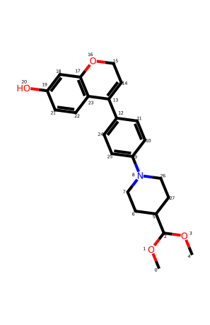 COC(OC)C1CCN(c2ccc(C3=CCOc4cc(O)ccc43)cc2)CC1